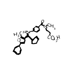 Cc1oc(-c2ccccc2)cc1C(Nc1ccc(C(=O)N(C)CCC(=O)O)cc1)C1CCCC1